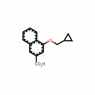 O=C(O)c1cc(OCC2CC2)c2ccccc2c1